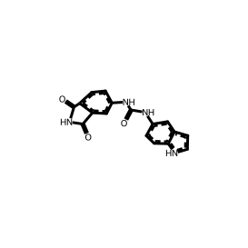 O=C(Nc1ccc2c(c1)C(=O)NC2=O)Nc1ccc2[nH]ccc2c1